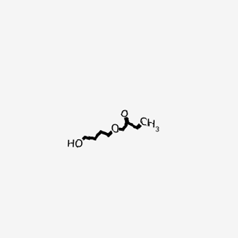 CCC(=O)COCCCCO